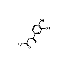 O=C(CC(=O)C(F)(F)F)c1ccc(O)c(O)c1